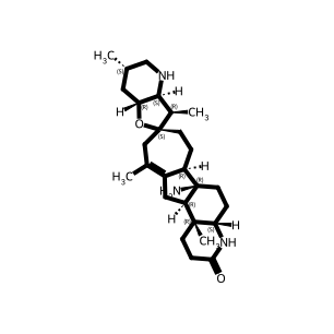 CC1=C2C[C@@H]3[C@@]4(C)CCC(=O)N[C@H]4CC[C@@]3(N)[C@@H]2CC[C@@]2(C1)O[C@@H]1C[C@H](C)CN[C@H]1[C@H]2C